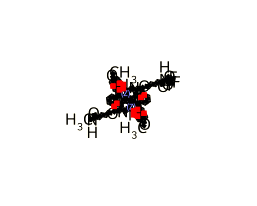 CNC(=O)CCCCOc1ccc(-c2c3/c(=C(\C#N)c4nc5cc(OC)ccc5s4)n(B(c4ccccc4)c4ccccc4)c(-c4ccc(OCCCCC(=O)NS(=O)(=O)C(F)(F)F)cc4)c3/c(=C(\C#N)c3nc4cc(OC)ccc4s3)n2B(c2ccccc2)c2ccccc2)cc1